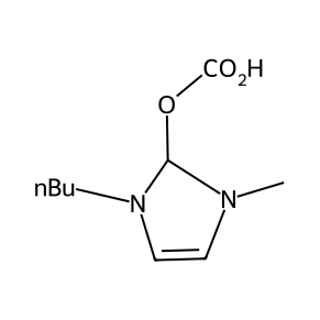 CCCCN1C=CN(C)C1OC(=O)O